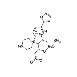 NO.O=C(O)C1CCOC(C=S(=O)=O)C1[N+]1(c2ccc(-c3ccco3)cc2)CCNCC1